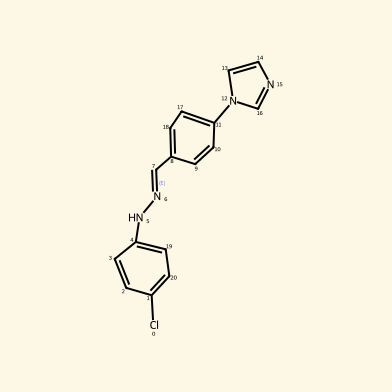 Clc1ccc(N/N=C/c2ccc(-n3ccnc3)cc2)cc1